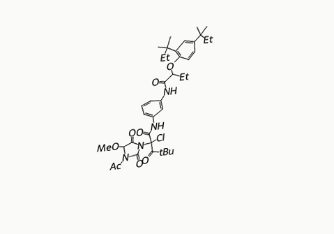 CCC(Oc1ccc(C(C)(C)CC)cc1C(C)(C)CC)C(=O)Nc1cccc(NC(=O)C(Cl)(C(=O)C(C)(C)C)N2C(=O)C(OC)N(C(C)=O)C2=O)c1